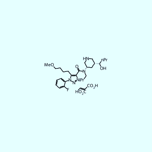 CCCC(O)[C@H]1CNC[C@@H](N(CC(C)C)C(=O)c2nnn(-c3ccccc3F)c2CCCCOC)C1.O=C(O)C=CC(=O)O